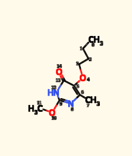 CCCCOc1c(C)nc(OC)[nH]c1=O